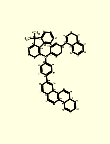 CC1(C)C2=CCCC(N(C3=CCC(C4=CCCc5ccccc54)C=C3)c3ccc(C4=CC5C6=C(C=CC5C=C4)C4C=CC=CC4C=C6)cc3)=C2c2ccccc21